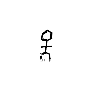 CC(C)(C(CF)=NO)c1ccccc1